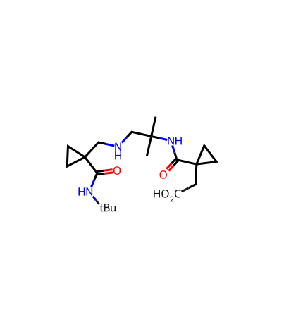 CC(C)(C)NC(=O)C1(CNCC(C)(C)NC(=O)C2(CC(=O)O)CC2)CC1